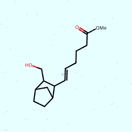 COC(=O)CCC/C=C/C1C2CCC(C2)C1CO